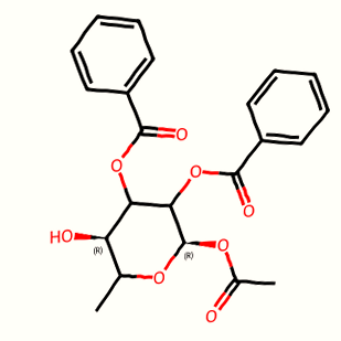 CC(=O)O[C@H]1OC(C)[C@@H](O)C(OC(=O)c2ccccc2)C1OC(=O)c1ccccc1